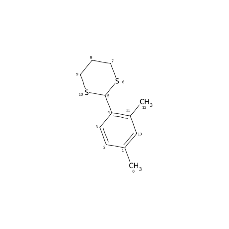 Cc1ccc(C2SCCCS2)c(C)c1